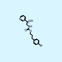 O=C(NC[C@H](O)c1cccnc1)OCCCc1ccc(Br)cc1